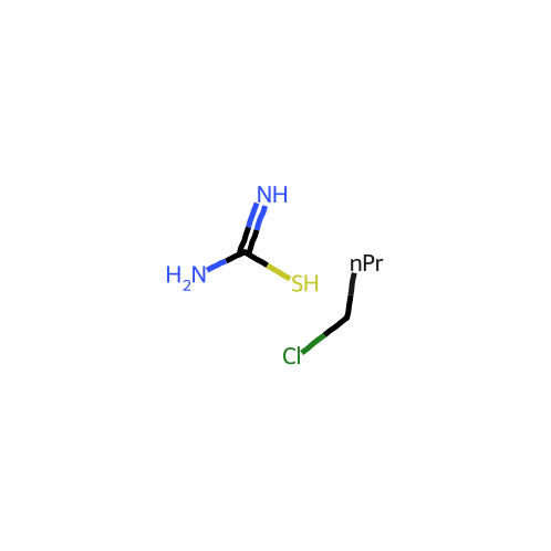 CCCCCl.N=C(N)S